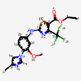 CCOC(=O)c1sc(Nc2ccc(-n3cnc(C)c3)c(OC)c2)nc1C(F)(F)F